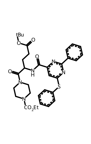 CCOC(=O)N1CCN(C(=O)C(CCC(=O)OC(C)(C)C)NC(=O)c2cc(Sc3ccccc3)nc(-c3ccccc3)n2)CC1